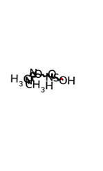 CN(C)Cc1ccnc(OCC=CCNC(=O)CSCCO)c1